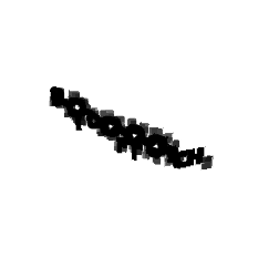 C/C=C/c1ccc(-c2ccc(-c3ccc(OCC4CCC(C5CO5)C=C4F)cc3)c(F)c2F)cc1